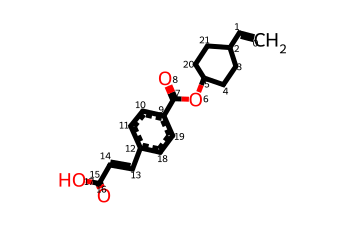 C=CC1CCC(OC(=O)c2ccc(C=CC(=O)O)cc2)CC1